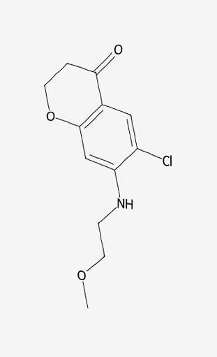 COCCNc1cc2c(cc1Cl)C(=O)CCO2